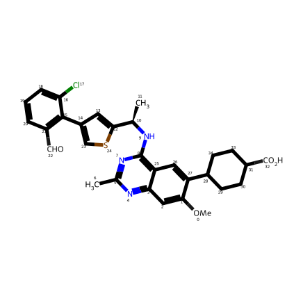 COc1cc2nc(C)nc(N[C@H](C)c3cc(-c4c(Cl)cccc4C=O)cs3)c2cc1C1CCC(C(=O)O)CC1